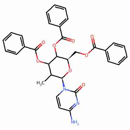 CC1C(OC(=O)c2ccccc2)C(OC(=O)c2ccccc2)[C@@H](COC(=O)c2ccccc2)O[C@H]1n1ccc(N)nc1=O